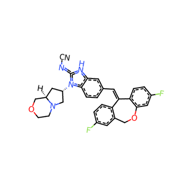 N#C/N=c1\[nH]c2cc(/C=C3\c4ccc(F)cc4COc4cc(F)ccc43)ccc2n1[C@H]1C[C@@H]2COCCN2C1